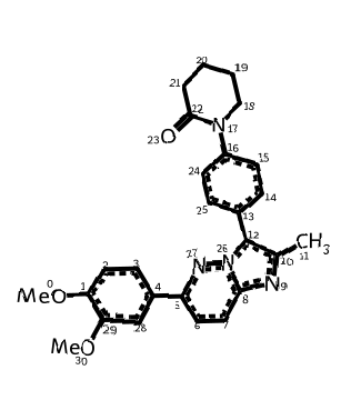 COc1ccc(-c2ccc3nc(C)c(-c4ccc(N5CCCCC5=O)cc4)n3n2)cc1OC